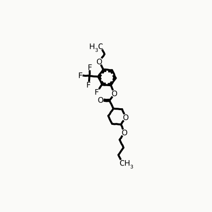 CCCCOC1CCC(C(=O)Oc2ccc(OCC)c(C(F)(F)F)c2F)CO1